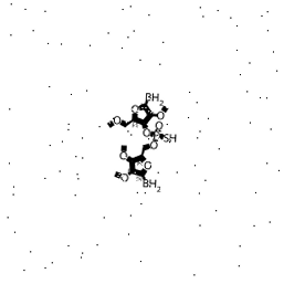 B[C@@H]1O[C@H](COP(=O)(S)OC2[C@@H](COC)O[C@@H](B)[C@H]2OC)C(OC)[C@@H]1OC